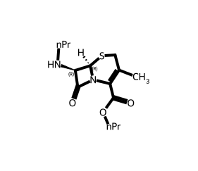 CCCN[C@@H]1C(=O)N2C(C(=O)OCCC)=C(C)CS[C@H]12